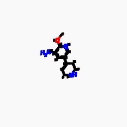 COc1ncc(C2=CCNCC2)cc1N